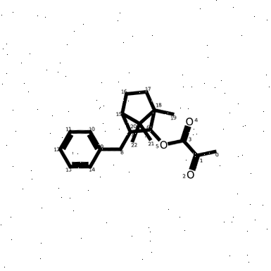 CC(=O)C(=O)OC1C(Cc2ccccc2)C2CCC1(C)C2(C)C